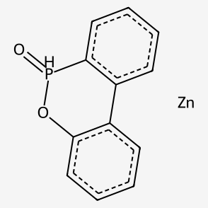 O=[PH]1Oc2ccccc2-c2ccccc21.[Zn]